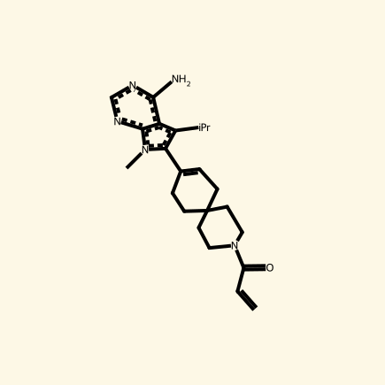 C=CC(=O)N1CCC2(CC=C(c3c(C(C)C)c4c(N)ncnc4n3C)CC2)CC1